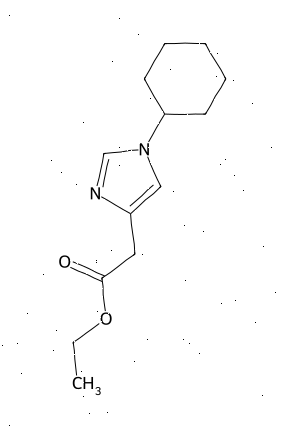 CCOC(=O)Cc1cn(C2CCCCC2)cn1